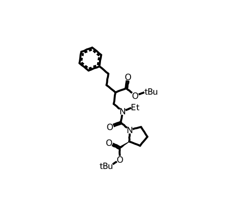 CCN(CC(CCc1ccccc1)C(=O)OC(C)(C)C)C(=O)N1CCC[C@H]1C(=O)OC(C)(C)C